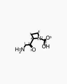 NCC(=O)C1CCN1C(=O)O